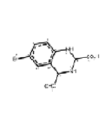 O=CC1NC(S(=O)(=O)O)Nc2ccc(Br)cc21